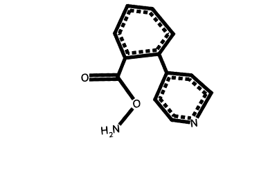 NOC(=O)c1ccccc1-c1ccncc1